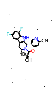 C#CC(=O)N1[C@@H](CCCC)Cc2c([nH]c3c(F)cc(F)cc23)[C@@H]1c1ccc(C#N)nc1